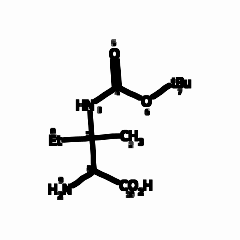 CCC(C)(NC(=O)OC(C)(C)C)C(N)C(=O)O